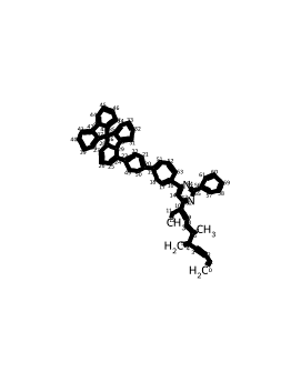 C=CC#CC(=C)/C(C)=C/C=C(\CC)c1cc(C2=CCC(C3=CC=C(C4=CC=CC5C4c4ccccc4C54c5ccccc5-c5ccccc54)CC3)=CC=C2)nc(-c2ccccc2)n1